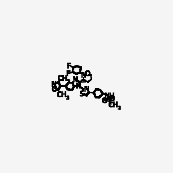 Cc1noc(C)c1-c1ccc2c(c1)nc([C@@H]1CCCON1c1ccc(F)c(F)c1)n2-c1nc(-c2ccc(NS(C)(=O)=O)cc2)cs1